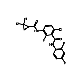 O=C(Nc1ccc(F)cc1F)c1c(Cl)ccc(NC(=O)C2CC2(Cl)Cl)c1F